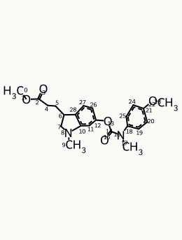 COC(=O)CCC1CN(C)c2cc(OC(=O)N(C)c3ccc(OC)cc3)ccc21